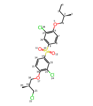 CC[C@@H](C)COc1ccc(S(=O)(=O)c2ccc(OC[C@H](C)CCl)c(Cl)c2)cc1Cl